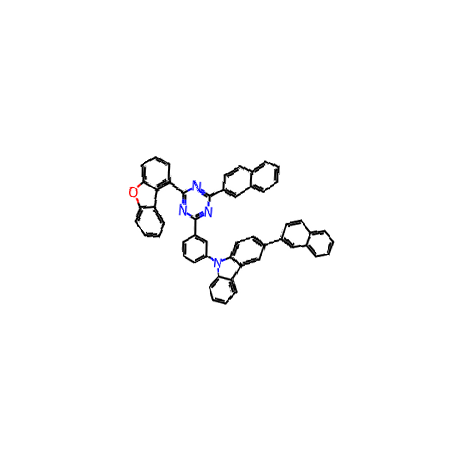 c1cc(-c2nc(-c3ccc4ccccc4c3)nc(-c3cccc4oc5ccccc5c34)n2)cc(-n2c3ccccc3c3cc(-c4ccc5ccccc5c4)ccc32)c1